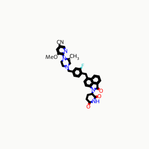 COc1cc(C#N)cnc1N1CCN(Cc2ccc(Cc3ccc4c5c(cccc35)C(=O)N4C3CCC(=O)NC3=O)c(F)c2)C[C@@H]1C